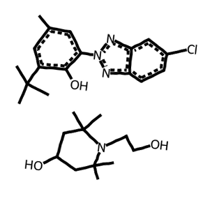 CC1(C)CC(O)CC(C)(C)N1CCO.Cc1cc(-n2nc3ccc(Cl)cc3n2)c(O)c(C(C)(C)C)c1